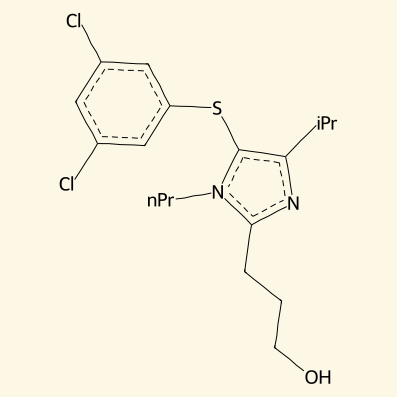 CCCn1c(CCCO)nc(C(C)C)c1Sc1cc(Cl)cc(Cl)c1